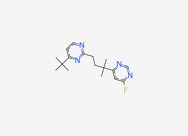 CC(C)(C)c1ccnc(CCC(C)(C)c2cc(F)ncn2)n1